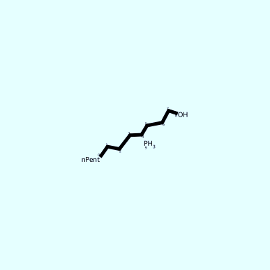 CCCCCCCCCCCCO.P